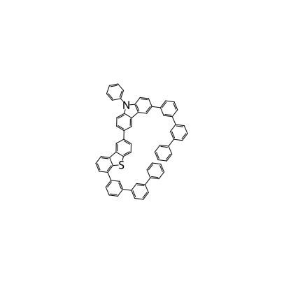 c1ccc(-c2cccc(-c3cccc(-c4ccc5c(c4)c4cc(-c6ccc7sc8c(-c9cccc(-c%10cccc(-c%11ccccc%11)c%10)c9)cccc8c7c6)ccc4n5-c4ccccc4)c3)c2)cc1